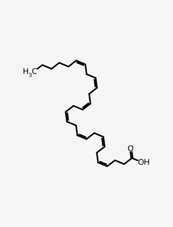 CCCCC/C=C\C/C=C\C/C=C\C/C=C\C/C=C\C/C=C\C/C=C\CCC(=O)O